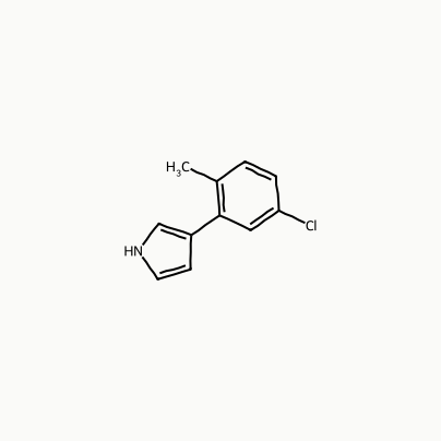 Cc1ccc(Cl)cc1-c1cc[nH]c1